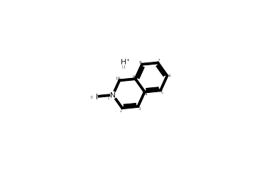 IN1C=Cc2ccccc2C1.[H+]